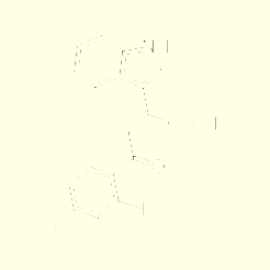 O=C(CC(C(=O)O)c1c[nH]c2ccccc12)c1ccc(I)cc1I